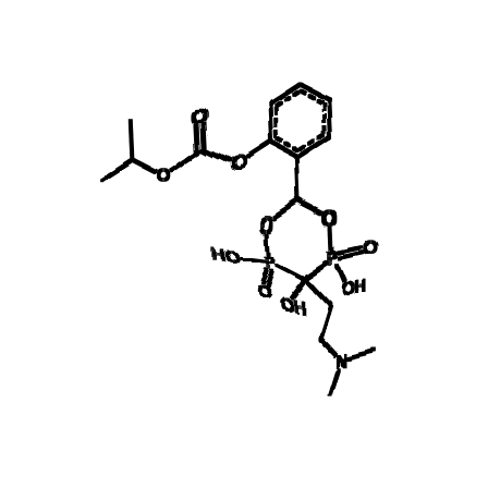 CC(C)OC(=O)Oc1ccccc1C1OP(=O)(O)C(O)(CCN(C)C)P(=O)(O)O1